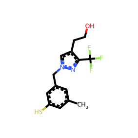 Cc1cc(S)cc(Cn2cc(CCO)c(C(F)(F)F)n2)c1